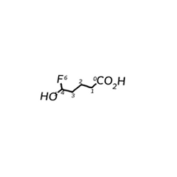 O=C(O)CCCC(O)F